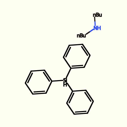 CCCCNCCCC.c1ccc([SiH](c2ccccc2)c2ccccc2)cc1